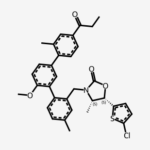 CCC(=O)c1ccc(-c2ccc(OC)c(-c3ccc(C)cc3CN3C(=O)O[C@H](c4ccc(Cl)s4)[C@@H]3C)c2)c(C)c1